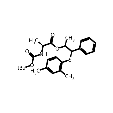 Cc1ccc(S[C@H](c2ccccc2)[C@H](C)OC(=O)[C@H](C)NC(=O)OC(C)(C)C)c(C)c1